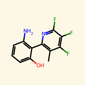 Cc1c(-c2c(N)cccc2O)nc(F)c(F)c1F